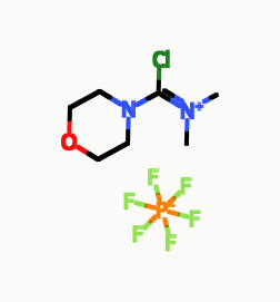 C[N+](C)=C(Cl)N1CCOCC1.F[P-](F)(F)(F)(F)F